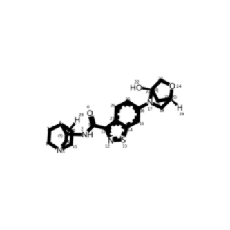 O=C(N[C@@H]1CN2CCC1CC2)c1nsc2cc(N3C[C@@H]4C[C@@]3(O)CO4)ccc12